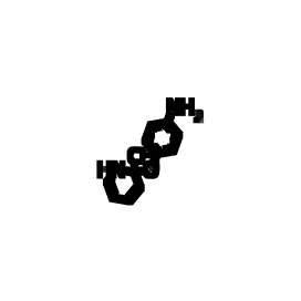 Nc1ccc(OC2(C(F)(F)F)C=CC=CN2)cc1